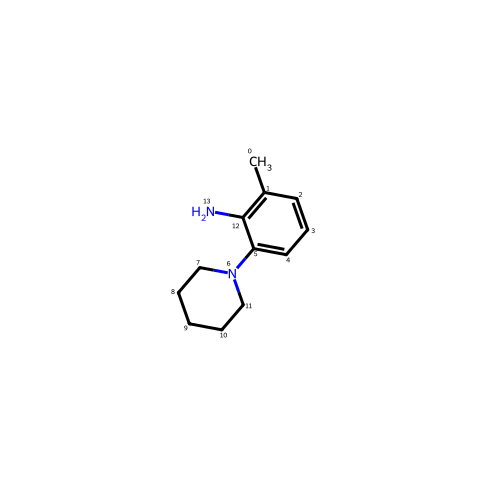 Cc1cccc(N2CCCCC2)c1N